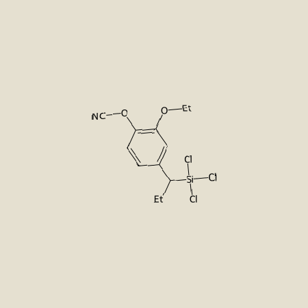 CCOc1cc(C(CC)[Si](Cl)(Cl)Cl)ccc1OC#N